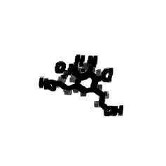 Nc1c(Cl)c(CCO)cc(CCO)c1[N+](=O)[O-]